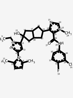 CCn1nc(-n2c(C)ccc2C)cc1C1(O)CC2CC(c3ncn(C)c3C(=O)Nc3ccc(F)c(Cl)c3)CC2C1